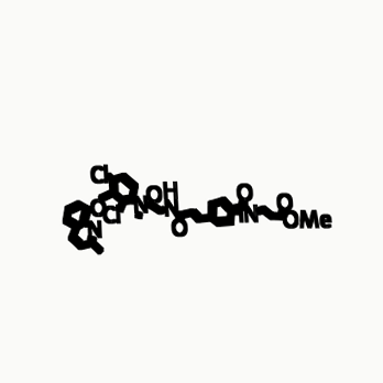 COC(=O)CCNC(=O)c1ccc(C=CC(=O)NCC(=O)N(C)c2ccc(Cl)c(COc3cccc4ccc(C)nc34)c2Cl)cc1